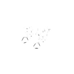 O=P([O-])([O-])C(O)P(=O)([O-])Oc1ccccc1.O=P([O-])([O-])C(O)P(=O)([O-])Oc1ccccc1.[Hg+2].[Hg+2].[Hg+2]